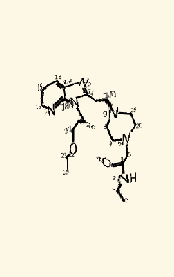 CCNC(=O)CN1CCN(Cc2nc3cccnc3n2CCOCC)CC1